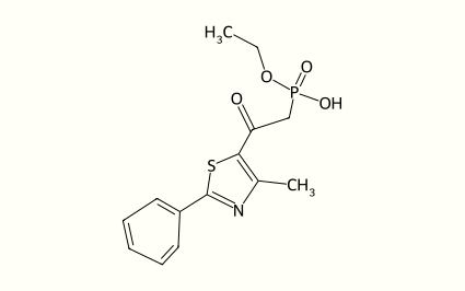 CCOP(=O)(O)CC(=O)c1sc(-c2ccccc2)nc1C